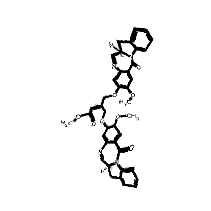 COC(=O)/C=C(/COc1cc2c(cc1OC)C(=O)N1c3ccccc3C[C@H]1C=N2)COC1C=C2N=C[C@@H]3Cc4ccccc4N3C(=O)C2=CC1OC